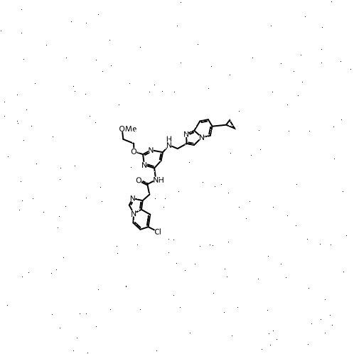 COCCOc1nc(NCc2cn3cc(C4CC4)ccc3n2)cc(NC(=O)Cc2ncn3ccc(Cl)cc23)n1